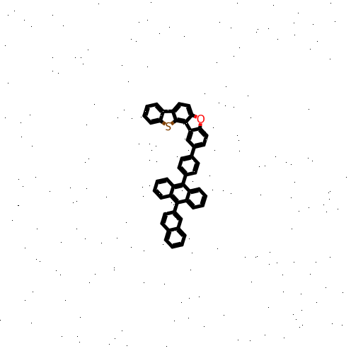 c1ccc2cc(-c3c4ccccc4c(-c4ccc(-c5ccc6oc7ccc8c9ccccc9sc8c7c6c5)cc4)c4ccccc34)ccc2c1